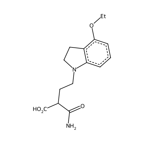 CCOc1cccc2c1CCN2CCC(C(N)=O)C(=O)O